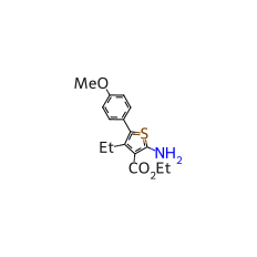 CCOC(=O)c1c(N)sc(-c2ccc(OC)cc2)c1CC